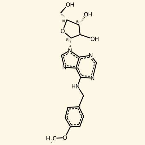 COc1ccc(CNc2ncnc3c2ncn3[C@@H]2O[C@H](CO)[C@H](O)C2O)cc1